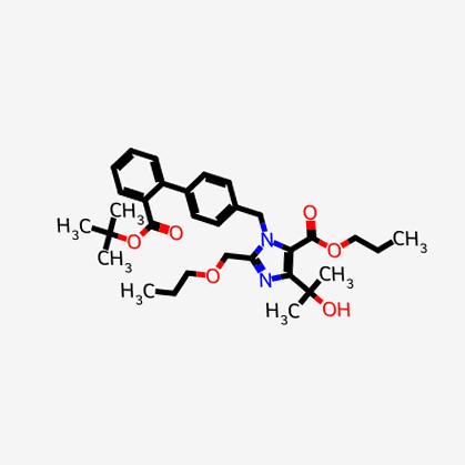 CCCOCc1nc(C(C)(C)O)c(C(=O)OCCC)n1Cc1ccc(-c2ccccc2C(=O)OC(C)(C)C)cc1